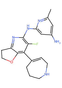 Cc1cc(N)cc(Nc2nc3c(c(C4=CCNCCC4)c2F)OCC3)n1